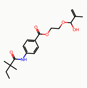 C=C(C)C(O)OCCOC(=O)c1ccc(NC(=O)C(C)(C)CC)cc1